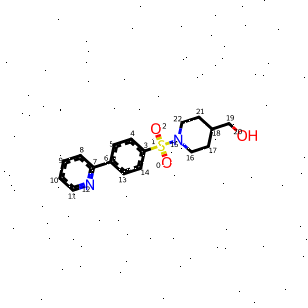 O=S(=O)(c1ccc(-c2ccccn2)cc1)N1CCC(CO)CC1